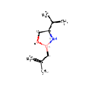 C=C(C)CB1NC(C(C)C)CO1